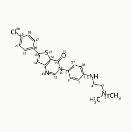 CN(C)CCNc1ccc(-n2cnc3cc(-c4ccc(Cl)cc4)sc3c2=O)cc1